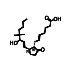 CCCCC(C)(C)C(O)C=C[C@@H]1CCC(=O)[C@H]1CC=CCCCC(=O)O